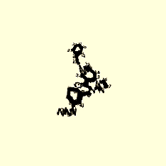 [N-]=[N+]=Nc1cccc(CN2C(=O)C3=C(CCN(Cc4ccccc4)C3)N3CCN=C23)c1